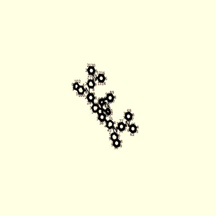 C1=CC2=C(C=C(N(C3=CC=C(N(c4ccccc4)c4ccccc4)CC3)c3ccc(C4=CC5=C(CC4)c4ccc(C6=CC=C(N(C7=Cc8ccccc8CC7)c7ccc(N(c8ccccc8)c8ccccc8)cc7)CC6)cc4C54c5ccccc5-n5c6ccccc6c6cccc4c65)cc3)CC2)C1